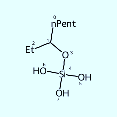 CCCCCC(CC)O[Si](O)(O)O